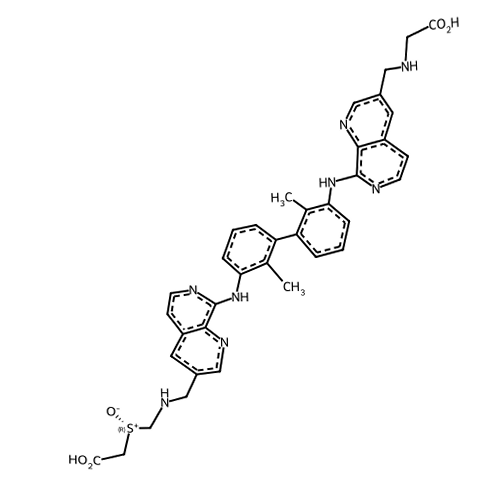 Cc1c(Nc2nccc3cc(CNCC(=O)O)cnc23)cccc1-c1cccc(Nc2nccc3cc(CNC[S@@+]([O-])CC(=O)O)cnc23)c1C